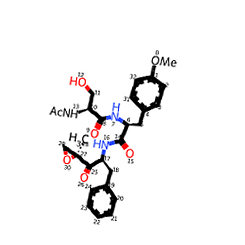 COc1ccc(C[C@H](NC(=O)[C@H](CO)NC(C)=O)C(=O)N[C@@H](Cc2ccccc2)C(=O)[C@]2(C)CO2)cc1